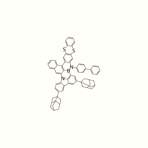 c1ccc(-c2ccc(N3B4c5c(cc6ccccc6c5-c5cc6c(cc53)Sc3ccccc3S6)-n3c5ccc(C67CC8CC(CC(C8)C6)C7)cc5c5cc(C67CC8CC(CC(C8)C6)C7)cc4c53)cc2)cc1